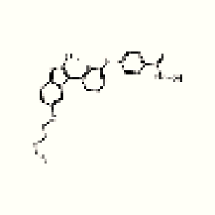 COCCOc1ccc2nc(C)c(-c3ccnc(Nc4ccc(C(=O)NO)cc4)n3)n2c1